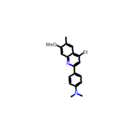 CCc1cc(-c2ccc(N(C)C)cc2)nc2cc(OC)c(C)cc12